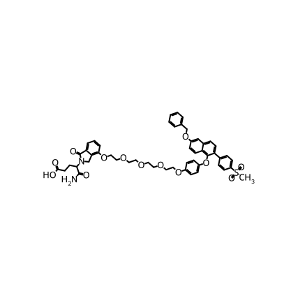 CS(=O)(=O)c1ccc(-c2ccc3cc(OCc4ccccc4)ccc3c2Oc2ccc(OCCOCCOCCOCCOc3cccc4c3CN(C(CCC(=O)O)C(N)=O)C4=O)cc2)cc1